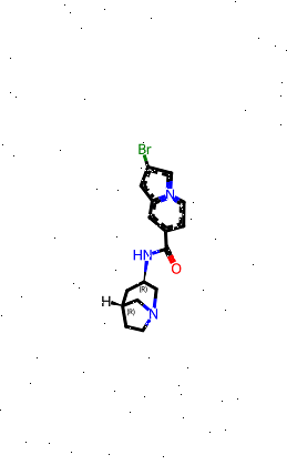 O=C(N[C@@H]1C[C@H]2CCN(C2)C1)c1ccn2cc(Br)cc2c1